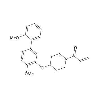 C=CC(=O)N1CCC(Oc2cc(-c3ccccc3OC)ccc2OC)CC1